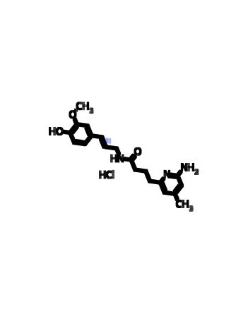 COc1cc(/C=C/CNC(=O)CCCc2cc(C)cc(N)n2)ccc1O.Cl